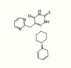 O=c1[nH]c(=S)[nH]c([C@H]2CC[C@H](C3C=CC=CC3)CC2)c1Cc1ncccn1